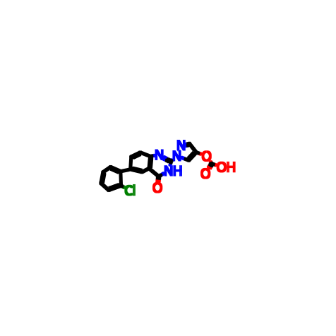 O=C(O)Oc1cnn(-c2nc3ccc(-c4ccccc4Cl)cc3c(=O)[nH]2)c1